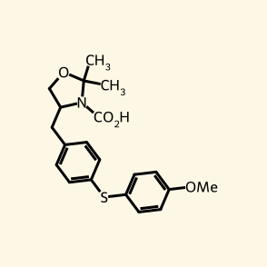 COc1ccc(Sc2ccc(CC3COC(C)(C)N3C(=O)O)cc2)cc1